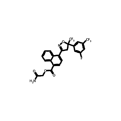 NC(=O)COC(=O)c1ccc(C2=NOC(c3cc(F)cc(C(F)(F)F)c3)(C(F)(F)F)C2)c2ccccc12